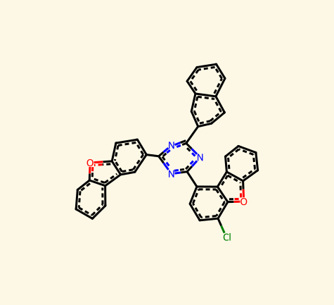 Clc1ccc(-c2nc(-c3ccc4ccccc4c3)nc(-c3ccc4oc5ccccc5c4c3)n2)c2c1oc1ccccc12